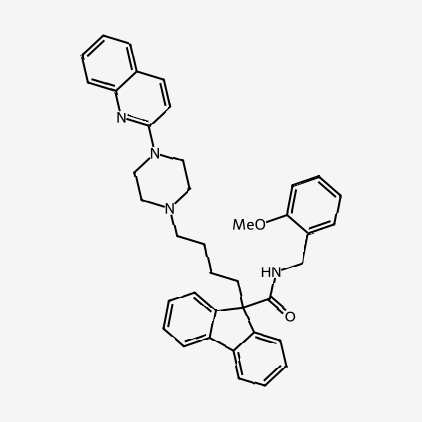 COc1ccccc1CNC(=O)C1(CCCCN2CCN(c3ccc4ccccc4n3)CC2)c2ccccc2-c2ccccc21